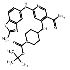 Cc1nc2cc(Nc3cc(NC4CCN(C(=O)OC(C)(C)C)CC4)c(C(N)=O)cn3)ccc2s1